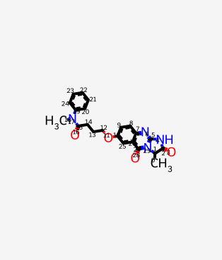 CC1C(=O)Nc2nc3ccc(OCCCC(=O)N(C)c4ccccc4)cc3c(=O)n21